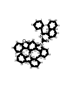 c1ccc(-c2nc(-n3c4cccc5c6cccc7c8ccccc8n(c67)c6c7c(cc3c6c54)oc3ccccc37)nc3ccc4ccccc4c23)cc1